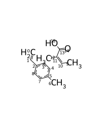 C=Cc1ccc(C)cc1.CC=C(C)C(=O)O